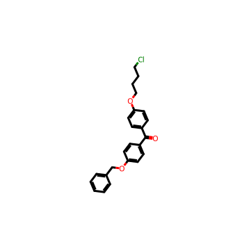 O=C(c1ccc(OCCCCCl)cc1)c1ccc(OCc2ccccc2)cc1